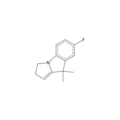 CC1(C)C2=CCCN2c2ccc(F)cc21